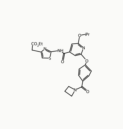 CCOC(=O)Cc1csc(NC(=O)c2cc(Oc3ccc(C(=O)N4CCC4)cc3)nc(OC(C)C)c2)n1